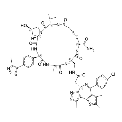 Cc1ncsc1-c1ccc([C@H]2NC(=O)[C@@H]3C[C@@H](O)CN3C(=O)[C@H](C(C)(C)C)NC(=O)CSC[C@H](C(N)=O)NC(=O)[C@@H](CNC(=O)C[C@@H]3N=C(c4ccc(Cl)cc4)c4c(sc(C)c4C)-n4c(C)nnc43)NC(=O)[C@H](C)NC2=O)cc1